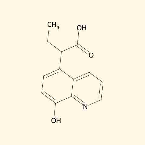 CCC(C(=O)O)c1ccc(O)c2ncccc12